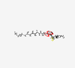 CCCCCCCCCCCCOC(=O)C([S])CC